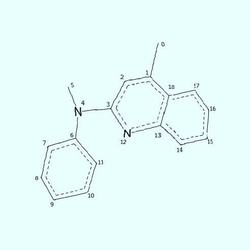 Cc1cc(N(C)c2ccccc2)nc2ccccc12